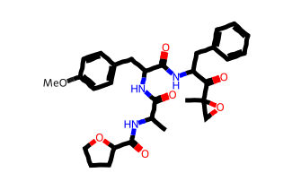 COc1ccc(CC(NC(=O)C(C)NC(=O)C2CCCO2)C(=O)NC(Cc2ccccc2)C(=O)C2(C)CO2)cc1